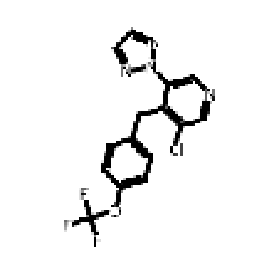 FC(F)(F)Oc1ccc(Cc2c(Cl)cncc2-n2nccn2)cc1